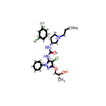 COCCN1C[C@@H](NC(=O)Nc2c(Cl)c(OC[C@@H](C)O)nn2-c2ccccc2)[C@H](c2cc(F)cc(F)c2)C1